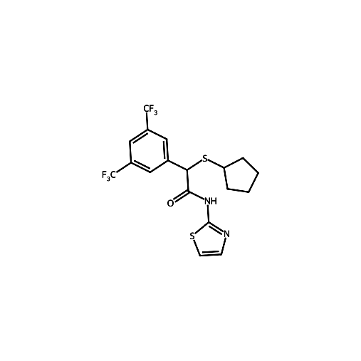 O=C(Nc1nccs1)C(SC1CCCC1)c1cc(C(F)(F)F)cc(C(F)(F)F)c1